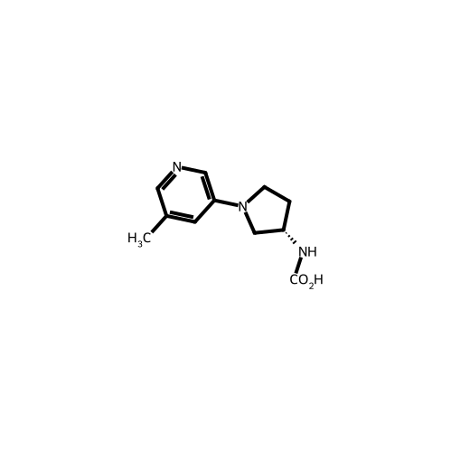 Cc1cncc(N2CC[C@H](NC(=O)O)C2)c1